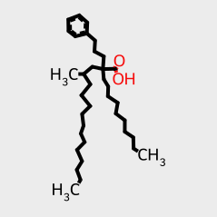 CCCCCCCCCCCCC(C)CC(CCCCCCCCCC)(CCCc1ccccc1)C(=O)O